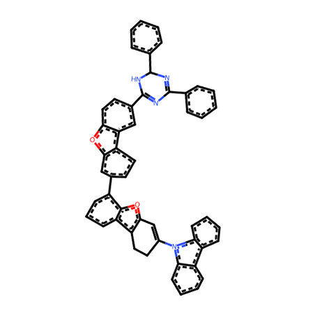 C1=C(n2c3ccccc3c3ccccc32)CCc2c1oc1c(-c3ccc4c(c3)oc3ccc(C5=NC(c6ccccc6)=NC(c6ccccc6)N5)cc34)cccc21